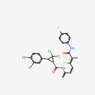 C=C(/C=C\C(F)=C(/C)C(=O)Nc1ccc(F)cc1)NC(=O)C1C(c2ccc(Cl)c(Cl)c2)C1(Cl)Cl